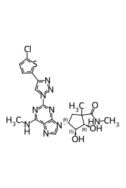 CNC(=O)C1(C)C[C@@H](n2cnc3c(NC)nc(-n4cc(-c5ccc(Cl)s5)nn4)nc32)[C@H](O)[C@@H]1O